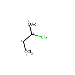 CC(=O)OC(Cl)CC(Cl)(Cl)Cl